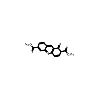 COC(=O)c1ccc2cc3c(nc2c1)C=CC(C(=O)OC)C3=O